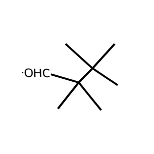 CC(C)(C)C(C)(C)[C]=O